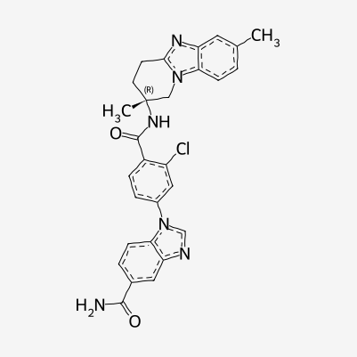 Cc1ccc2c(c1)nc1n2C[C@](C)(NC(=O)c2ccc(-n3cnc4cc(C(N)=O)ccc43)cc2Cl)CC1